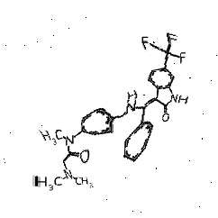 CN(C)CC(=O)N(C)c1ccc(N/C(=C2/C(=O)Nc3cc(C(F)(F)F)ccc32)c2ccccc2)cc1